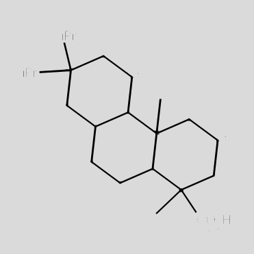 CC(C)C1(C(C)C)CCC2C(CCC3C(C)(C(=O)O)CCCC23C)C1